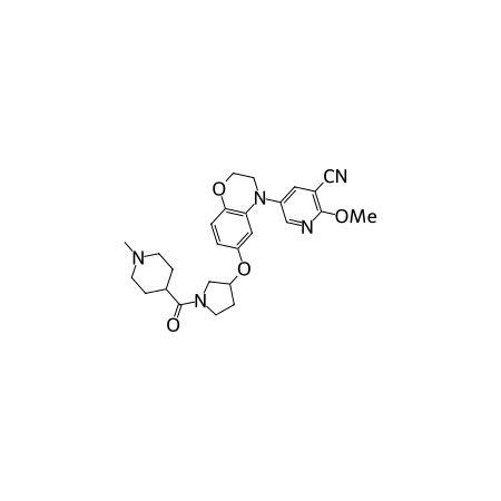 COc1ncc(N2CCOc3ccc(OC4CCN(C(=O)C5CCN(C)CC5)C4)cc32)cc1C#N